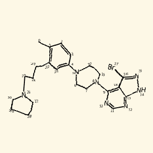 Cc1ccc(N2CCN(c3ncnc4[nH]nc(Br)c34)CC2)cc1CCCN1CCCC1